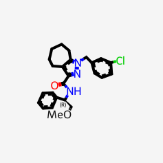 COC[C@H](NC(=O)c1nn(Cc2cccc(Cl)c2)c2c1CCCCC2)c1ccccc1